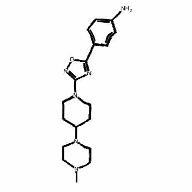 CN1CCN(C2CCN(c3noc(-c4ccc(N)cc4)n3)CC2)CC1